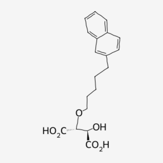 O=C(O)[C@H](O)[C@@H](OCCCCCc1ccc2ccccc2c1)C(=O)O